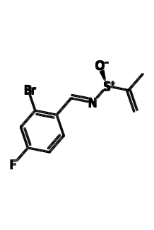 C=C(C)[S@+]([O-])/N=C/c1ccc(F)cc1Br